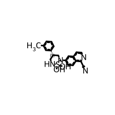 Cc1cccc([C@H]2CNS(O)(O)N(c3ccc4c(C#N)nccc4c3)C2)c1